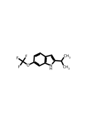 CC(C)c1cc2ccc(OC(F)(F)F)cc2[nH]1